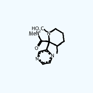 CNC(=O)C1(c2cnccn2)C(C)CCCN1C(=O)O